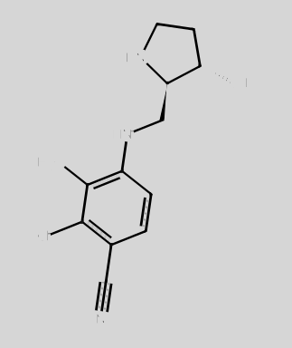 Cc1c(NC[C@H]2NCC[C@@H]2C)ccc(C#N)c1Cl